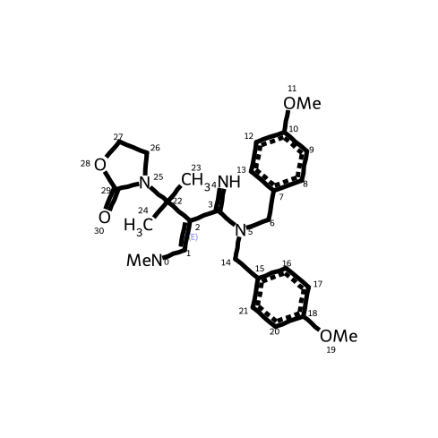 CN/C=C(/C(=N)N(Cc1ccc(OC)cc1)Cc1ccc(OC)cc1)C(C)(C)N1CCOC1=O